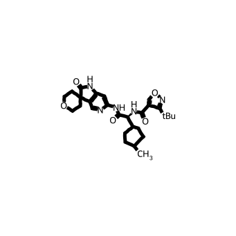 CC1CCC([C@H](NC(=O)c2conc2C(C)(C)C)C(=O)Nc2cc3c(cn2)C2(CCOCC2)C(=O)N3)CC1